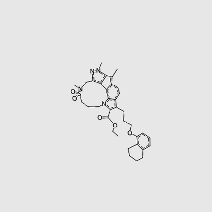 CCOC(=O)c1c(CCCOc2cccc3c2CCCC3)c2ccc(F)c3c2n1CCCS(=O)(=O)N(C)Cc1nn(C)c(CC)c1-3